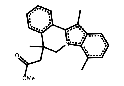 COC(=O)CC1(C)Cn2c(c(C)c3cccc(C)c32)-c2ccccc21